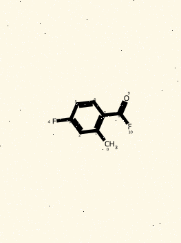 Cc1cc(F)ccc1C(=O)F